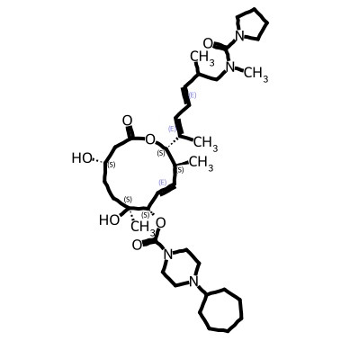 C/C(=C\C=C\C(C)CN(C)C(=O)N1CCCC1)[C@H]1OC(=O)C[C@@H](O)CC[C@](C)(O)[C@@H](OC(=O)N2CCN(C3CCCCCC3)CC2)/C=C/[C@@H]1C